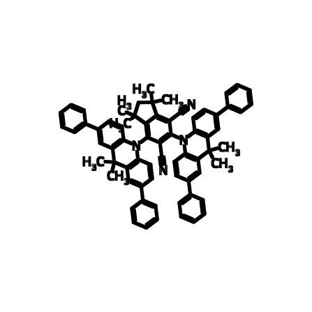 CC1(C)CC(C)(C)c2c(N3c4ccc(-c5ccccc5)cc4C(C)(C)c4cc(-c5ccccc5)ccc43)c(C#N)c(N3c4ccc(-c5ccccc5)cc4C(C)(C)c4cc(-c5ccccc5)ccc43)c(C#N)c21